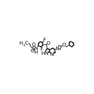 CCCS(=O)(=O)Nc1ccc(F)c(C(=O)c2c[nH]c3ncc(N4CC(OCc5ccccc5)C4)cc23)c1F